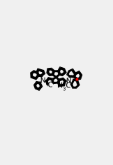 CC1(N(C2=c3ccccc3=CCC2)c2ccc3c(c2)C2(c4ccccc4-c4ccccc42)c2cc(N(c4ccccc4)c4cccc5ccccc45)ccc2-3)CC=CCC1